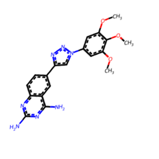 COc1cc(-n2cc(-c3ccc4nc(N)nc(N)c4c3)nn2)cc(OC)c1OC